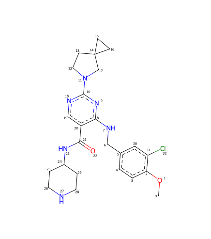 COc1ccc(CNc2nc(N3CCC4(CC4)C3)ncc2C(=O)NC2CCNCC2)cc1Cl